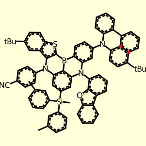 Cc1cccc([Si](C)(c2cccc(C)c2)c2cc3c4c(c2)N(c2cccc5c2oc2ccccc25)c2cc(N(c5ccc(C(C)(C)C)cc5)c5ccccc5-c5ccccc5)ccc2B4c2sc4ccc(C(C)(C)C)cc4c2N3c2ccc(C#N)cc2)c1